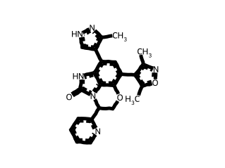 Cc1n[nH]cc1-c1cc(-c2c(C)noc2C)c2c3c1[nH]c(=O)n3C(c1ccccn1)CO2